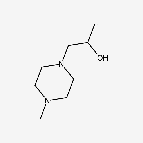 [CH2]C(O)CN1CCN(C)CC1